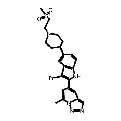 Cc1cc(-c2[nH]c3ccc(C4CCN(CCS(C)(=O)=O)CC4)cc3c2C(C)C)cc2cnnn12